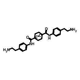 NCCc1ccc(NC(=O)C23CCC(C(=O)Nc4ccc(CCN)cc4)(CC2)CC3)cc1